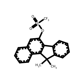 CC1(C)c2ccccc2-c2c(OS(=O)(=O)C(F)(F)F)cc3ccccc3c21